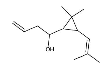 C=CCC(O)C1C(C=C(C)C)C1(C)C